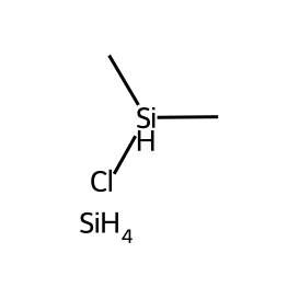 C[SiH](C)Cl.[SiH4]